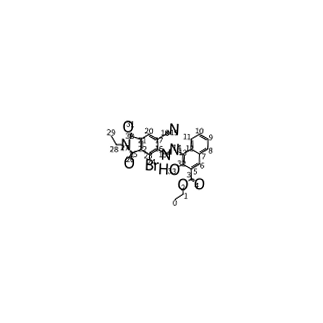 CCOC(=O)c1cc2ccccc2c(/N=N/c2c(C#N)cc3c(c2Br)C(=O)N(CC)C3=O)c1O